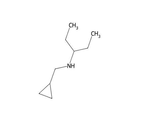 CCC(CC)NCC1CC1